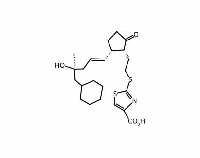 C[C@](O)(C/C=C/[C@@H]1CCC(=O)[C@@H]1CCSc1nc(C(=O)O)cs1)CC1CCCCC1